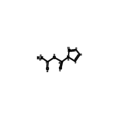 NC(=O)OC(=O)n1cccn1